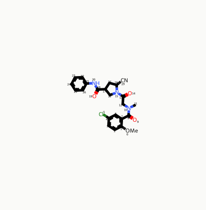 COc1ccc(Cl)cc1C(=O)N(C)CC(=O)N1CC(C(=O)Nc2ccccc2)CC1C#N